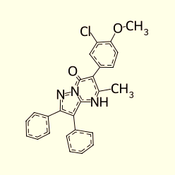 COc1ccc(-c2c(C)[nH]c3c(-c4ccccc4)c(-c4ccccc4)nn3c2=O)cc1Cl